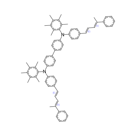 C/C(=C\C=C\c1ccc(N(c2ccc(-c3ccc(N(c4ccc(/C=C/C=C(\C)c5ccccc5)cc4)c4c(C)c(C)c(C)c(C)c4C)cc3)cc2)c2c(C)c(C)c(C)c(C)c2C)cc1)c1ccccc1